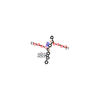 CCCCCCCCC1(CCCCCCCC)c2cc(-c3ccccc3)ccc2-c2ccc(-c3cc(OCCOCCOCCOCC)c(-c4ccc(-c5sc(-c6ccccc6)cc5OCCOCCOCCOCC)c5nsnc45)s3)cc21